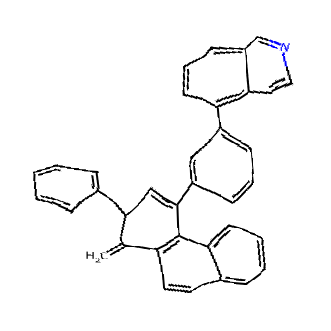 C=C1c2ccc3ccccc3c2C(c2cccc(-c3cccc4cnccc34)c2)=CC1c1ccccc1